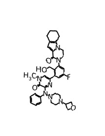 Cn1cc(-c2cc(F)cc(N3CCn4c(cc5c4CCCC5)C3=O)c2CO)nc(N(c2ccccc2)N2CCN(C3COC3)CC2)c1=O